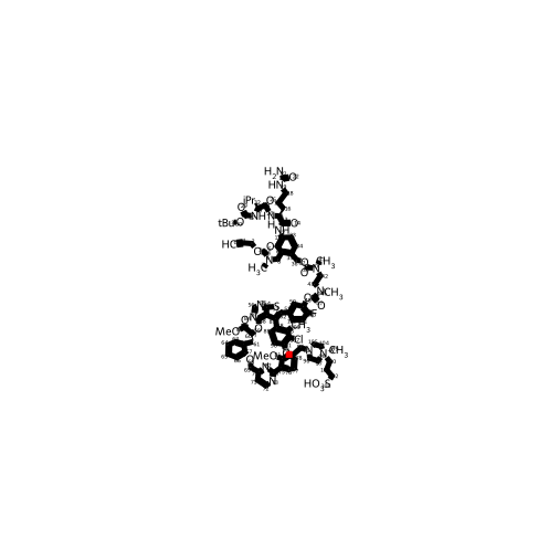 C#CCOC(=O)N(C)Cc1cc(NC(=O)[C@H](CCCNC(N)=O)NC(=O)[C@@H](NC(=O)OC(C)(C)C)C(C)C)ccc1COC(=O)N(C)CCN(C)C(=O)Oc1cc(-c2sc3ncnc(O[C@H](Cc4ccccc4OCc4ccnc(-c5ccccc5OC)n4)C(=O)OC)c3c2-c2ccc(OCCN3CC[N+](C)(CCCS(=O)(=O)O)CC3)c(Cl)c2C)ccc1F